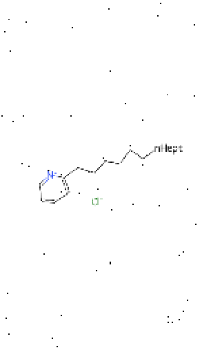 CCCCCCCCCCCCCC1=CC=CC=[N+]1.[Cl-]